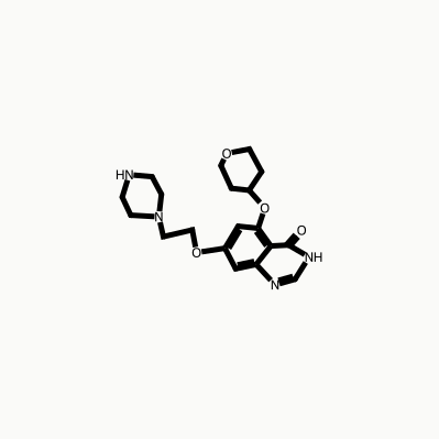 O=c1[nH]cnc2cc(OCCN3CCNCC3)cc(OC3CCOCC3)c12